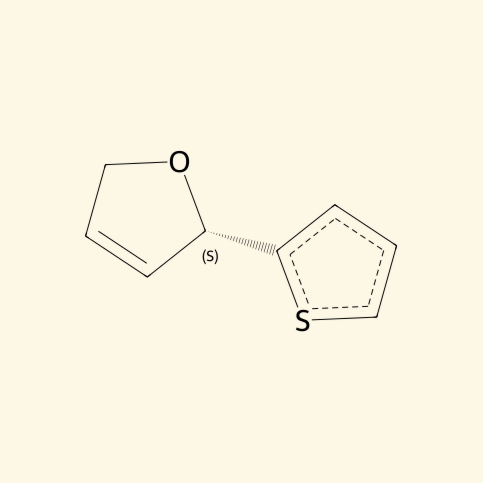 C1=C[C@@H](c2cccs2)OC1